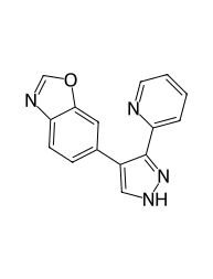 c1ccc(-c2n[nH]cc2-c2ccc3ncoc3c2)nc1